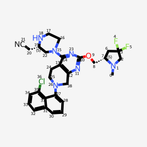 CN1CC(F)(F)C[C@H]1COc1nc2c(c(N3CCN[C@@H](CC#N)C3)n1)CCN(c1cccc3cccc(Cl)c13)C2